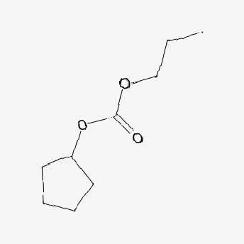 [CH2]CCOC(=O)OC1CCCC1